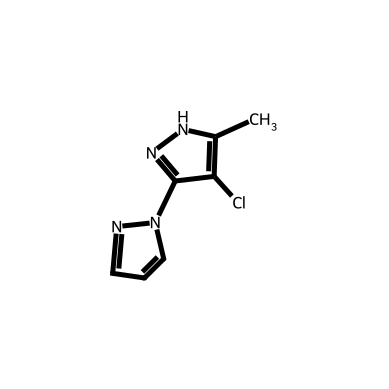 Cc1[nH]nc(-n2cccn2)c1Cl